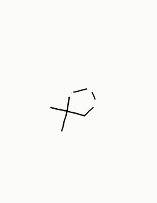 CC1(C)COSO1